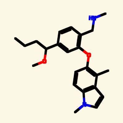 CCCC(OC)c1ccc(CNC)c(Oc2ccc3c(ccn3C)c2C)c1